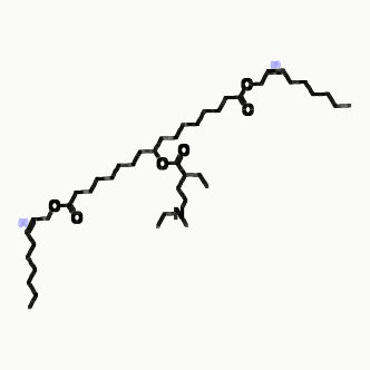 CCCCCC/C=C\COC(=O)CCCCCCCC(CCCCCCCC(=O)OC/C=C\CCCCCC)OC(=O)C(CC)CCN(C)CC